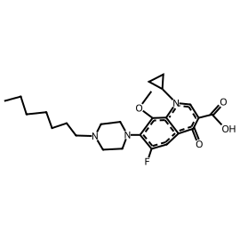 CCCCCCCN1CCN(c2c(F)cc3c(=O)c(C(=O)O)cn(C4CC4)c3c2OC)CC1